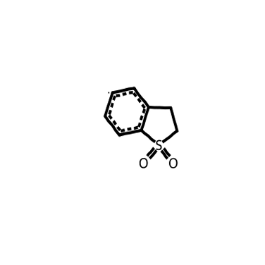 O=S1(=O)CCc2c[c]ccc21